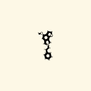 COc1cc2c(c3c1=CCO3)CN(CCc1ccccc1)C=2